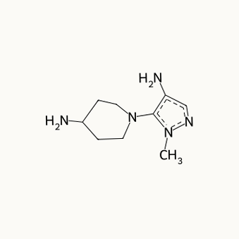 Cn1ncc(N)c1N1CCC(N)CC1